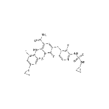 Cn1c(Nc2ccc(C3CC3)cc2F)c(C(N)=O)cc(Cc2ccnc(NS(=O)(=O)NC3CC3)c2F)c1=O